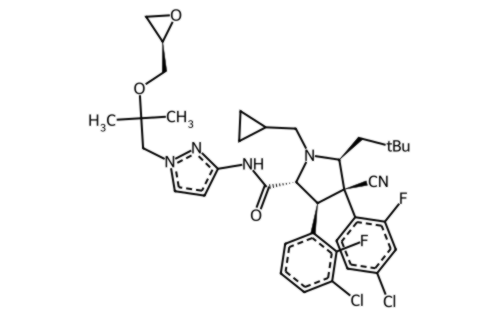 CC(C)(C)C[C@@H]1N(CC2CC2)[C@@H](C(=O)Nc2ccn(CC(C)(C)OC[C@H]3CO3)n2)[C@H](c2cccc(Cl)c2F)[C@@]1(C#N)c1ccc(Cl)cc1F